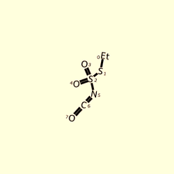 CCSS(=O)(=O)N=C=O